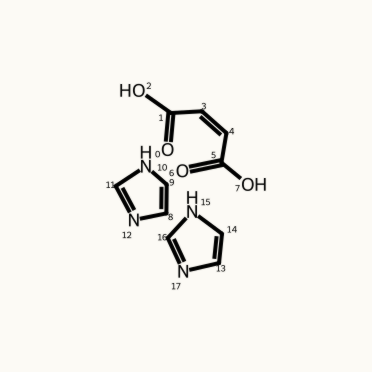 O=C(O)/C=C\C(=O)O.c1c[nH]cn1.c1c[nH]cn1